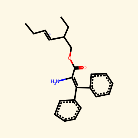 CC/C=C/C(CC)COC(=O)C(N)=C(c1ccccc1)c1ccccc1